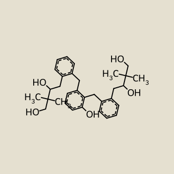 CC(C)(CO)C(O)Cc1ccccc1Cc1cccc(O)c1Cc1ccccc1CC(O)C(C)(C)CO